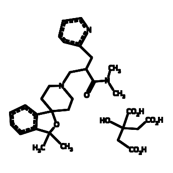 CN(C)C(=O)C(Cc1ccccn1)CN1CCC2(CC1)OC(C)(C)c1ccccc12.O=C(O)CC(O)(CC(=O)O)C(=O)O